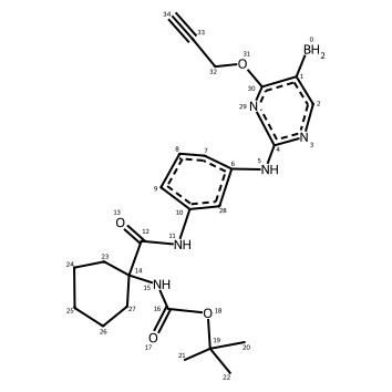 Bc1cnc(Nc2cccc(NC(=O)C3(NC(=O)OC(C)(C)C)CCCCC3)c2)nc1OCC#C